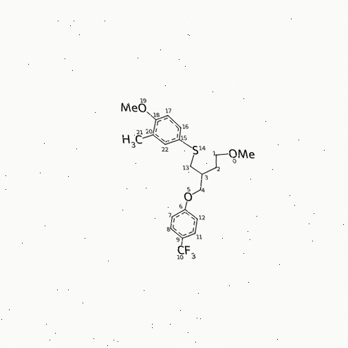 COCCC(COc1ccc(C(F)(F)F)cc1)CSc1ccc(OC)c(C)c1